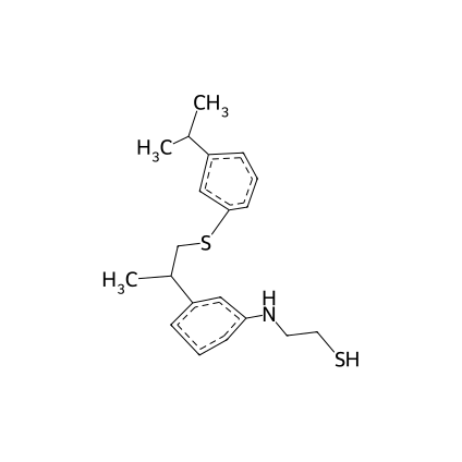 CC(C)c1cccc(SCC(C)c2cccc(NCCS)c2)c1